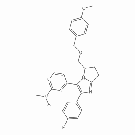 COc1ccc(COCC2CCc3nc(-c4ccc(F)cc4)c(-c4ccnc([S+](C)[O-])n4)n32)cc1